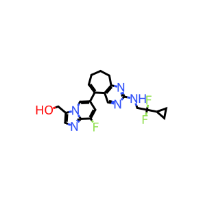 OCc1cnc2c(F)cc(C3=CCCCc4nc(NCC(F)(F)C5CC5)ncc43)cn12